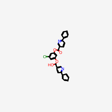 O=C(Oc1cc(Cl)cc(OC(O)c2ccc(-c3ccccc3)nc2)c1)c1ccc(-c2ccccc2)nc1